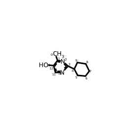 Cc1nc(C2CCCCC2)ncc1O